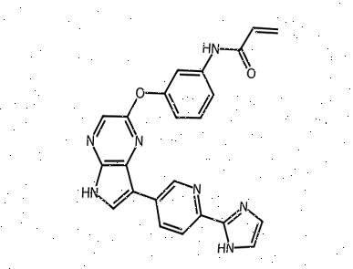 C=CC(=O)Nc1cccc(Oc2cnc3[nH]cc(-c4ccc(-c5ncc[nH]5)nc4)c3n2)c1